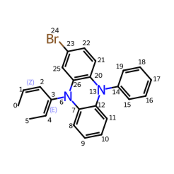 C/C=C\C(=C/C)N1c2ccccc2N(c2ccccc2)c2ccc(Br)cc21